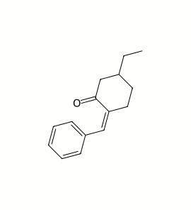 CCC1CCC(=Cc2ccccc2)C(=O)C1